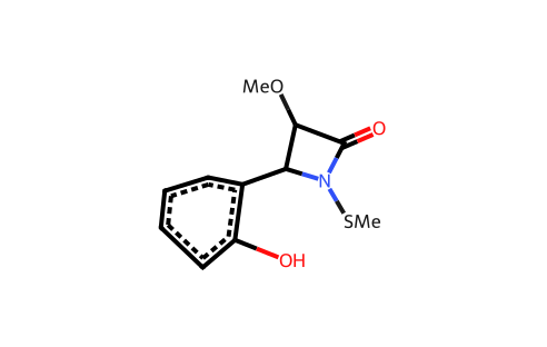 COC1C(=O)N(SC)C1c1ccccc1O